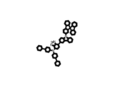 c1ccc(-c2ccc(N(c3ccc(-c4ccccc4)cc3)c3ccc(-c4ccc5c(c4)c4ccccc4n5-c4ccc5c(c4)C4(c6ccccc6-c6ccccc64)c4ccccc4-5)c4nsnc34)cc2)cc1